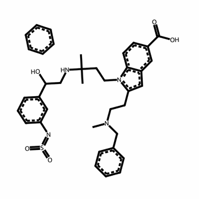 CN(CCc1cc2cc(C(=O)O)ccc2n1CCC(C)(C)NCC(O)c1cccc(N=S(=O)=O)c1)Cc1ccccc1.c1ccccc1